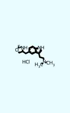 CN(C)CCc1c[nH]c2ccc(CC3COSN3)cc12.Cl